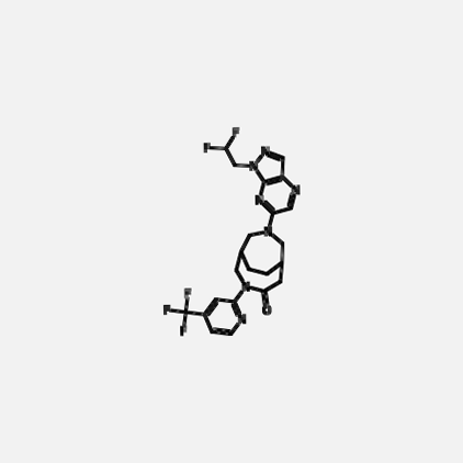 O=C1CC2CCC(CN(c3cnc4cnn(CC(F)F)c4n3)C2)CN1c1cc(C(F)(F)F)ccn1